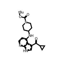 CC(C)(C)OC(=O)N1CCC(Nc2ccnc3[nH]cc(C(=O)C4CC4)c23)CC1